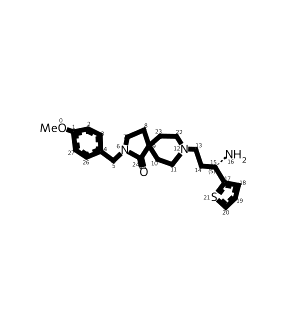 COc1ccc(CN2CCC3(CCN(CC[C@H](N)c4cccs4)CC3)C2=O)cc1